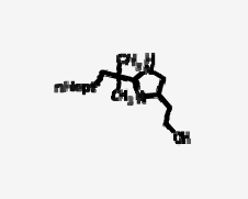 CCCCCCCCC(C)(C)C1=NC(CCO)CN1